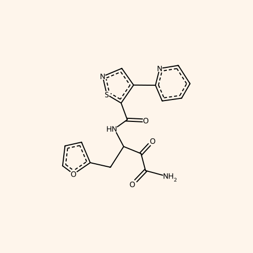 NC(=O)C(=O)C(Cc1ccco1)NC(=O)c1sncc1-c1ccccn1